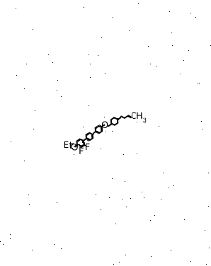 C/C=C/CCC1CCC(COc2ccc(-c3ccc(-c4ccc(OCC)c(F)c4F)cc3)cc2)CC1